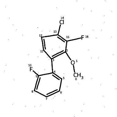 COc1c(-c2ccccc2F)ccc(Cl)c1F